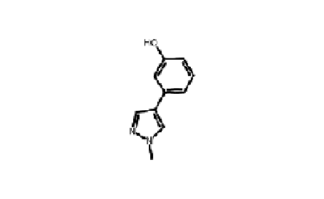 Cn1cc(-c2cccc(O)c2)cn1